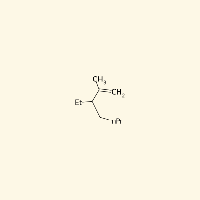 C=C(C)C(CC)CCCC